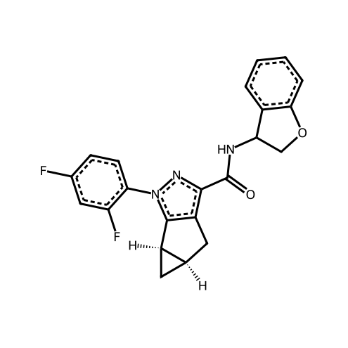 O=C(NC1COc2ccccc21)c1nn(-c2ccc(F)cc2F)c2c1C[C@H]1C[C@@H]21